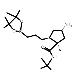 CC(C)(C)NC(=O)[C@]1(C)C[C@@H](N)C[C@@H]1CCCB1OC(C)(C)C(C)(C)O1